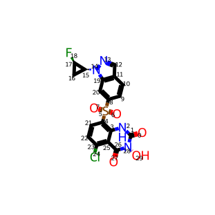 O=c1[nH]c2c(S(=O)(=O)c3ccc4cnn([C@@H]5C[C@H]5F)c4c3)ccc(Cl)c2c(=O)n1O